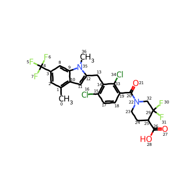 Cc1cc(C(F)(F)F)cc2c1cc(Cc1c(Cl)ccc(C(=O)N3CCC(C(=O)O)C(F)(F)C3)c1Cl)n2C